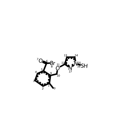 Cc1cccc(C(=O)Br)c1COc1ccn(S)n1